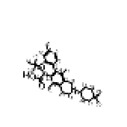 Cc1ccc(-c2c(C)c3c(c(C)c2[C@H](OC(C)(C)C)C(=O)O)CCN(C2CCC(C)(C)CC2)C3)cc1